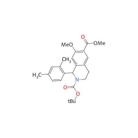 COC(=O)c1cc2c(cc1OC)C(c1ccc(C)cc1C)N(C(=O)OC(C)(C)C)CC2